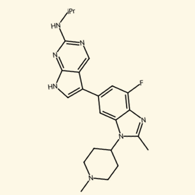 Cc1nc2c(F)cc(-c3c[nH]c4nc(NC(C)C)ncc34)cc2n1C1CCN(C)CC1